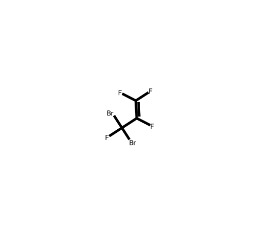 FC(F)=C(F)C(F)(Br)Br